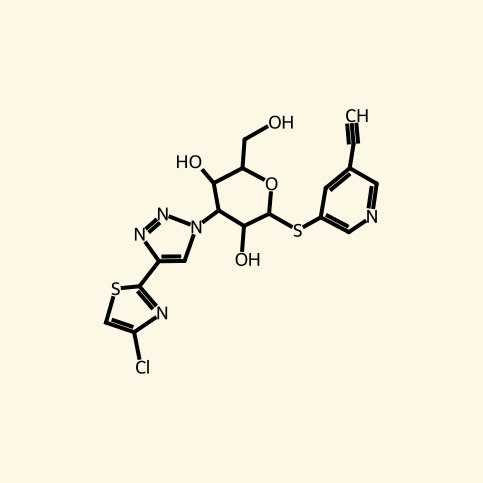 C#Cc1cncc(SC2OC(CO)C(O)C(n3cc(-c4nc(Cl)cs4)nn3)C2O)c1